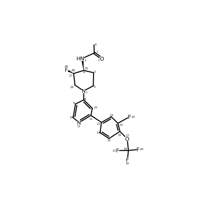 CC(=O)N[C@H]1CCN(c2ccnc(-c3ccc(OC(F)(F)F)c(F)c3)c2)C[C@H]1F